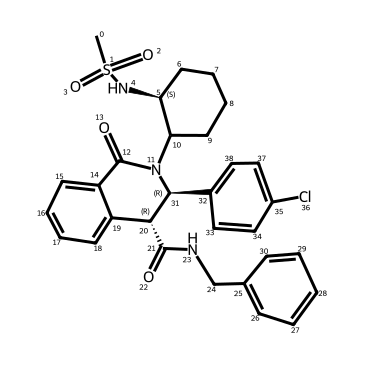 CS(=O)(=O)N[C@H]1CCCCC1N1C(=O)c2ccccc2[C@@H](C(=O)NCc2ccccc2)[C@@H]1c1ccc(Cl)cc1